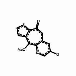 COc1c2ccsc2c(=O)cc2cc(Cl)cnc12